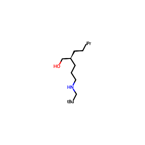 CC(C)CC[C@H](CO)CCCNCC(C)(C)C